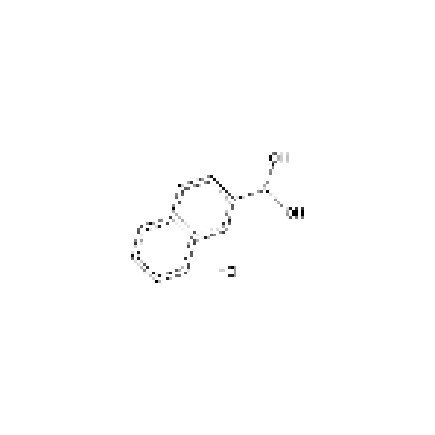 Cl.ON(O)c1ccc2ccccc2c1